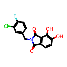 O=C1c2ccc(O)c(O)c2C(=O)N1Cc1ccc(F)c(Cl)c1